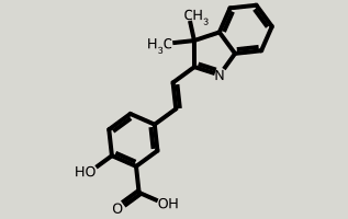 CC1(C)C(/C=C/c2ccc(O)c(C(=O)O)c2)=Nc2ccccc21